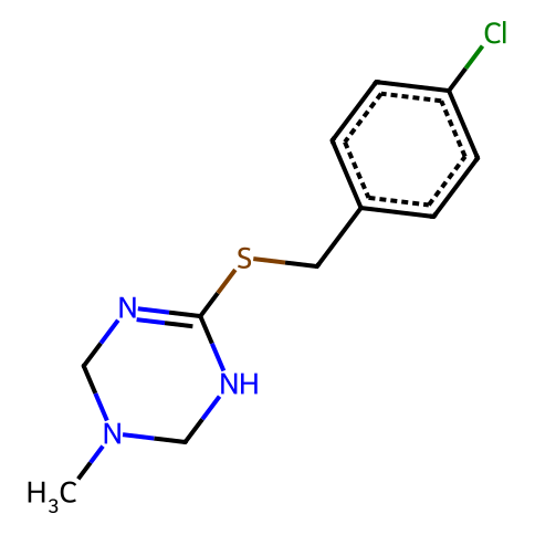 CN1CN=C(SCc2ccc(Cl)cc2)NC1